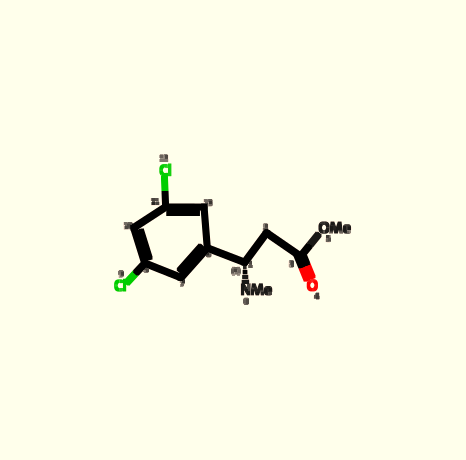 CN[C@@H](CC(=O)OC)c1cc(Cl)cc(Cl)c1